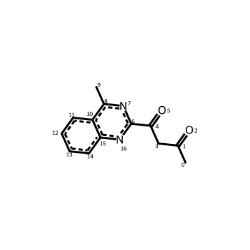 CC(=O)CC(=O)c1nc(C)c2ccccc2n1